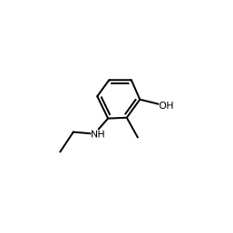 CCNc1cccc(O)c1C